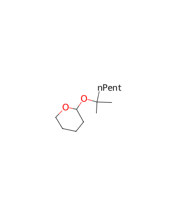 CCCCCC(C)(C)OC1CCCCO1